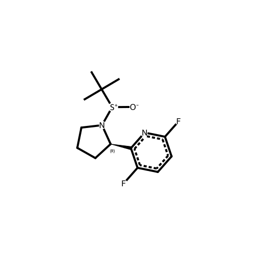 CC(C)(C)[S+]([O-])N1CCC[C@@H]1c1nc(F)ccc1F